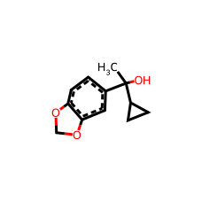 CC(O)(c1ccc2c(c1)OCO2)C1CC1